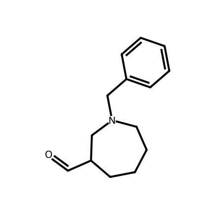 O=CC1CCCCN(Cc2ccccc2)C1